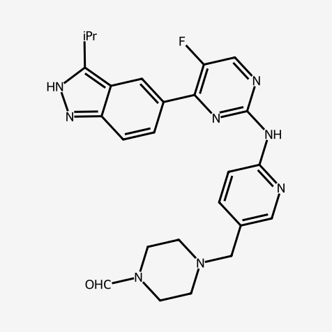 CC(C)c1[nH]nc2ccc(-c3nc(Nc4ccc(CN5CCN(C=O)CC5)cn4)ncc3F)cc12